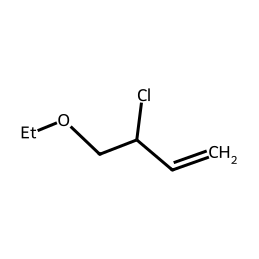 [CH2]COCC(Cl)C=C